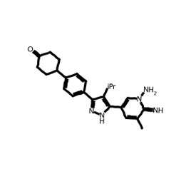 Cc1cc(-c2[nH]nc(-c3ccc(C4CCC(=O)CC4)cc3)c2C(C)C)cn(N)c1=N